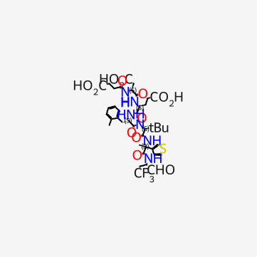 Cc1ccccc1C[C@H](NC(=O)[C@H](CCC(=O)O)NC(=O)[C@H](CC(=O)O)NC(=O)CCC(=O)O)C(=O)N[C@H](C(=O)N[C@@](C)(C(=O)NC(C=O)CC(F)(F)F)c1ccsc1)C(C)(C)C